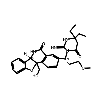 CCC1(CC)CC(=O)N([C@H](CCOC)c2ccc3c(c2)C(=O)N[C@@H]2c4ccccc4OC32CO)C(=N)N1